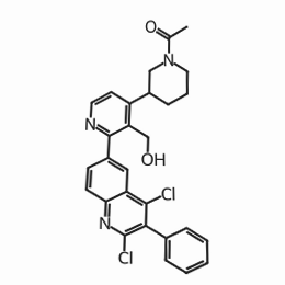 CC(=O)N1CCCC(c2ccnc(-c3ccc4nc(Cl)c(-c5ccccc5)c(Cl)c4c3)c2CO)C1